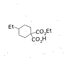 CCOC(=O)C1(C(=O)O)CCC(CC)CC1